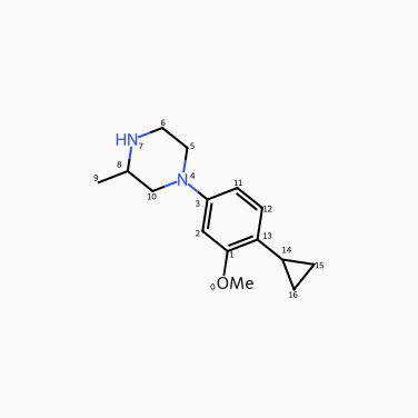 COc1cc(N2CCNC(C)C2)ccc1C1CC1